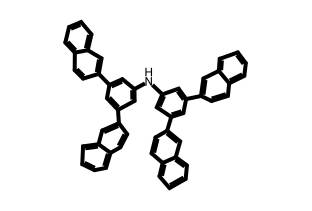 c1ccc2cc(-c3cc(Nc4cc(-c5ccc6ccccc6c5)cc(-c5ccc6ccccc6c5)c4)cc(-c4ccc5ccccc5c4)c3)ccc2c1